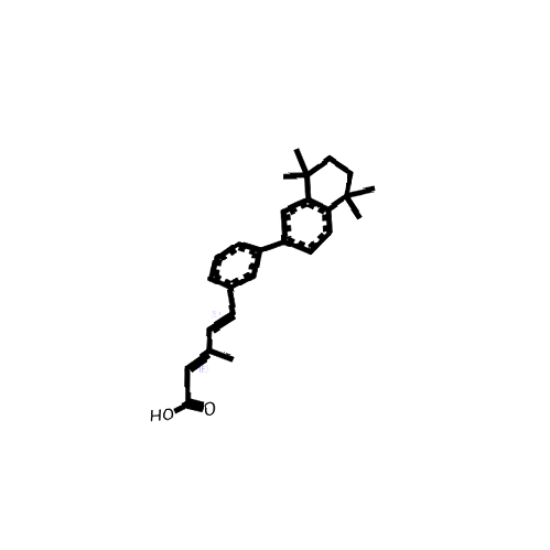 CC(/C=C/c1cccc(-c2ccc3c(c2)C(C)(C)CCC3(C)C)c1)=C\C(=O)O